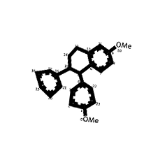 COc1ccc(C2c3ccc(OC)cc3CCC2c2ccccc2)cc1